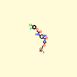 O=C(COc1ccc(Cl)c(F)c1)N[C@H]1CC[C@H](C(=O)N2CC(OCCOC(F)(F)F)C2)NC1